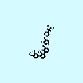 COc1nc(-c2cccc(-c3cccc(Nc4nccc(CN5CCC(C(C)(C)C(=O)O)CC5)c4F)c3Cl)c2Cl)ccc1C=O